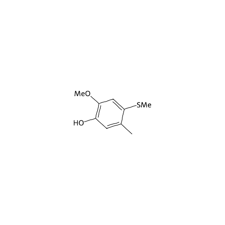 COc1cc(SC)c(C)cc1O